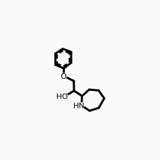 OC(COc1ccccc1)C1CCCCCN1